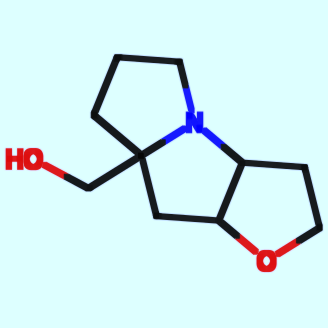 OCC12CCCN1C1CCOC1C2